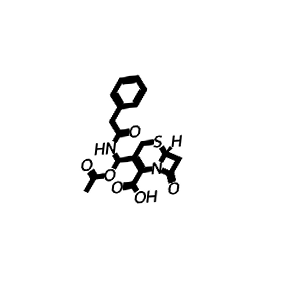 CC(=O)OC(NC(=O)Cc1ccccc1)C1=C(C(=O)O)N2C(=O)C[C@H]2SC1